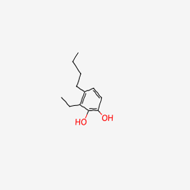 CCCCc1ccc(O)c(O)c1CC